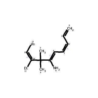 C=C/C=C\C=C(/N)C(C)(C)/C(=C\C(C)C)CC